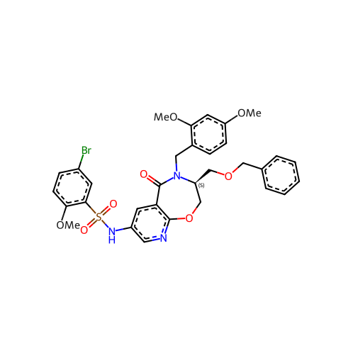 COc1ccc(CN2C(=O)c3cc(NS(=O)(=O)c4cc(Br)ccc4OC)cnc3OC[C@@H]2COCc2ccccc2)c(OC)c1